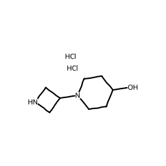 Cl.Cl.OC1CCN(C2CNC2)CC1